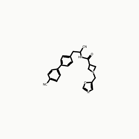 N#Cc1ccc(-c2ccc(CC(C#N)NC(=O)C3CN(Cc4cnco4)C3)cc2)cc1